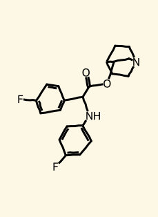 O=C(OC1CN2CCC1CC2)C(Nc1ccc(F)cc1)c1ccc(F)cc1